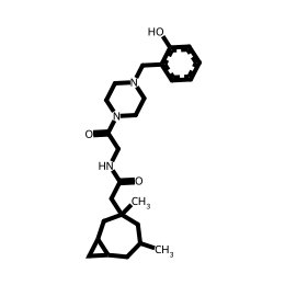 CC1CC2CC2CC(C)(CC(=O)NCC(=O)N2CCN(Cc3ccccc3O)CC2)C1